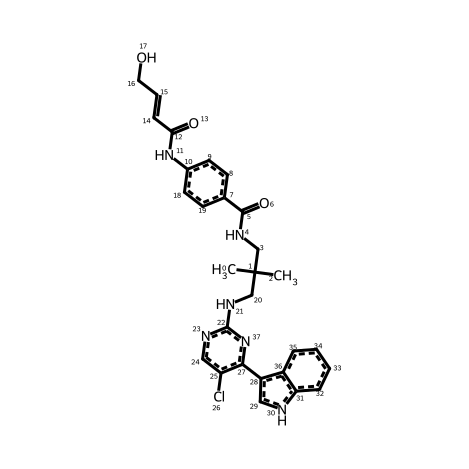 CC(C)(CNC(=O)c1ccc(NC(=O)C=CCO)cc1)CNc1ncc(Cl)c(-c2c[nH]c3ccccc23)n1